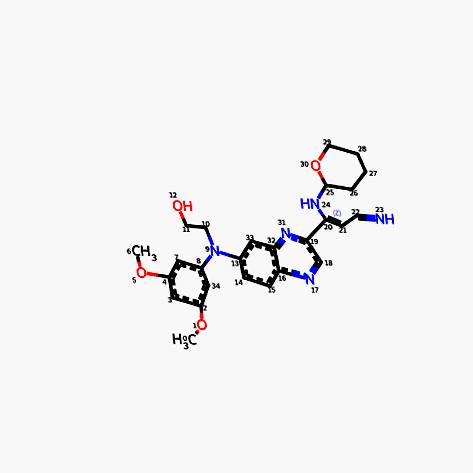 COc1cc(OC)cc(N(CCO)c2ccc3ncc(/C(=C/C=N)NC4CCCCO4)nc3c2)c1